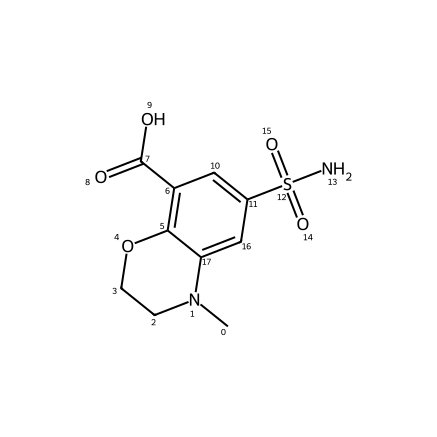 CN1CCOc2c(C(=O)O)cc(S(N)(=O)=O)cc21